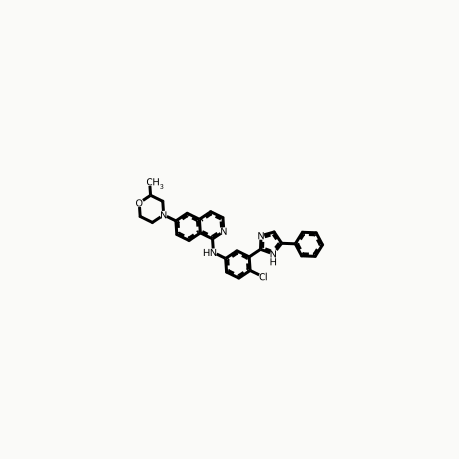 CC1CN(c2ccc3c(Nc4ccc(Cl)c(-c5ncc(-c6ccccc6)[nH]5)c4)nccc3c2)CCO1